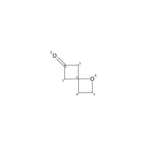 O=C1CC2(CCO2)C1